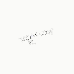 CP(=O)(O)Oc1ccc(CCNC(=O)/C=C/c2ccc(OP(=O)(O)O)c(OP(=O)(O)O)c2)cc1